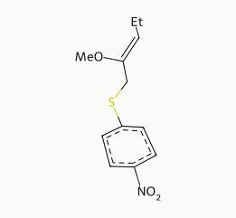 CC/C=C(/CSc1ccc([N+](=O)[O-])cc1)OC